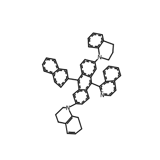 C1=CC2=C(CC1)N(c1ccc3c(-c4nccc5ccccc45)c4cc(N5CCCc6ccccc65)ccc4c(-c4ccc5ccccc5c4)c3c1)CCC2